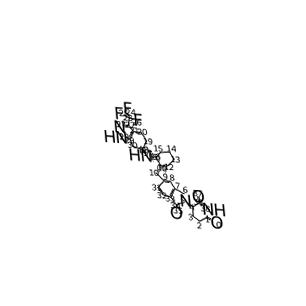 O=C1CCC(N2Cc3cc(C[C@H]4CCCC[C@@H]4N[C@H]4CCc5c(C(F)(F)F)n[nH]c5C4)ccc3C2=O)C(=O)N1